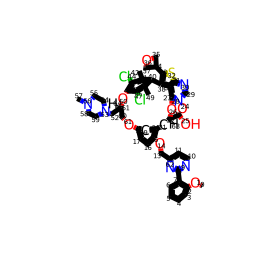 COc1ccccc1-c1nccc(COc2ccc3cc2C[C@H](C(=O)O)Oc2ncnc4sc(C5COC5)c(c24)-c2c(C)c(Cl)c(c(Cl)c2C)O[C@H](CN2CCN(C)CC2)CO3)n1